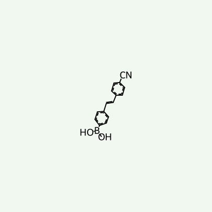 N#Cc1ccc(C=Cc2ccc(B(O)O)cc2)cc1